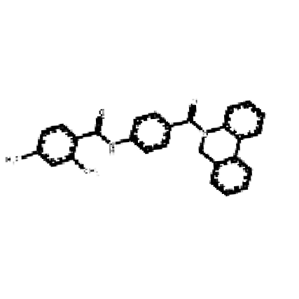 Cc1ccc(C(=O)Nc2ccc(C(=O)N3Cc4ccccc4-c4ccccc43)cc2)c(C)c1